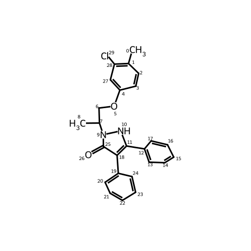 Cc1ccc(OCC(C)n2[nH]c(-c3ccccc3)c(-c3ccccc3)c2=O)cc1Cl